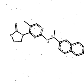 Cc1cnc(N[C@@H](C)c2ccc3ccccc3c2)nc1N1CCOC1=O